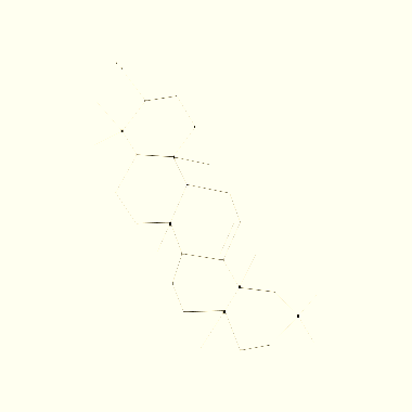 CC1(C)CCC2(C)CCC3C(=CCC4C3(C)CCC3C(C)(C)C(N=O)CCC34C)C2(C)C1